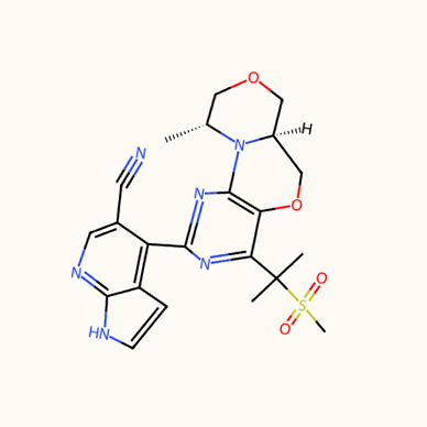 C[C@@H]1COC[C@H]2COc3c(nc(-c4c(C#N)cnc5[nH]ccc45)nc3C(C)(C)S(C)(=O)=O)N21